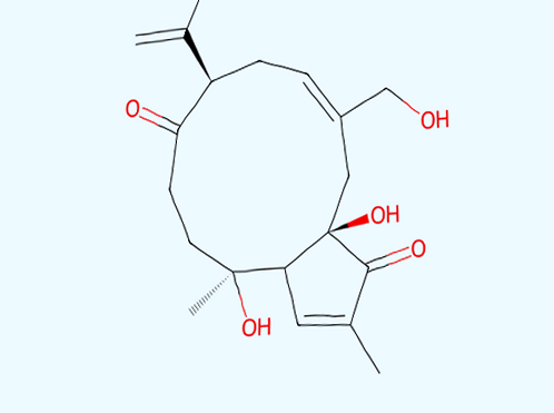 C=C(C)[C@H]1C/C=C(/CO)C[C@]2(O)C(=O)C(C)=CC2[C@@](C)(O)CCC1=O